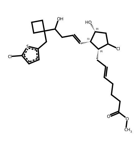 COC(=O)CCCC=CC[C@H]1C(Cl)C[C@@H](O)[C@H]1C=CCC(O)C1(Cc2ccc(Cl)s2)CCC1